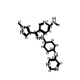 CNc1cc2c(cn1)c(-c1cnn(C)c1)nn2C1CCC(Oc2cncnc2)CC1